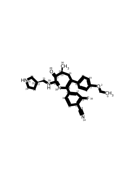 CCOc1ccc(C2=C(c3ccc(C#N)c(F)c3)N=C(NC[C@H]3CCNC3)C(=O)[C@@H](C)C2)cc1